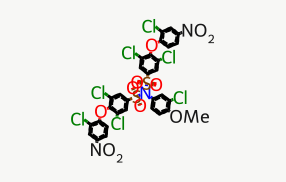 COc1ccc(N(S(=O)(=O)c2cc(Cl)c(Oc3ccc([N+](=O)[O-])cc3Cl)c(Cl)c2)S(=O)(=O)c2cc(Cl)c(Oc3ccc([N+](=O)[O-])cc3Cl)c(Cl)c2)cc1Cl